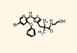 CC(C)(Cc1csc(Nc2ncc(Br)cc2Oc2ccccc2)n1)C(=O)NCCO